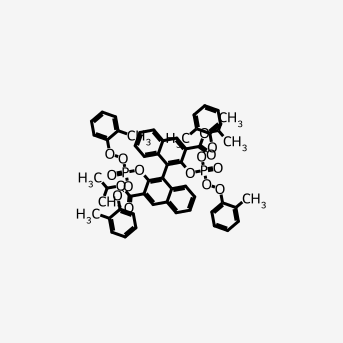 Cc1ccccc1OOP(=O)(OOc1ccccc1C)Oc1c(C(=O)OC(C)C)cc2ccccc2c1-c1c(OP(=O)(OOc2ccccc2C)OOc2ccccc2C)c(C(=O)OC(C)C)cc2ccccc12